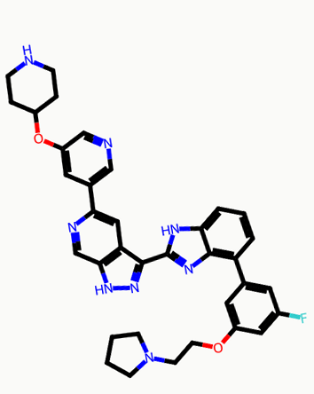 Fc1cc(OCCN2CCCC2)cc(-c2cccc3[nH]c(-c4n[nH]c5cnc(-c6cncc(OC7CCNCC7)c6)cc45)nc23)c1